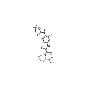 Cc1cc(NC(=O)C(=O)N2CCCC[C@@H]2C2CCCC2)cnc1NC(=O)OC(C)(C)C